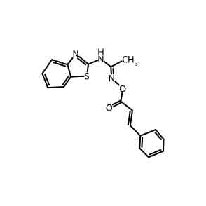 CC(=NOC(=O)C=Cc1ccccc1)Nc1nc2ccccc2s1